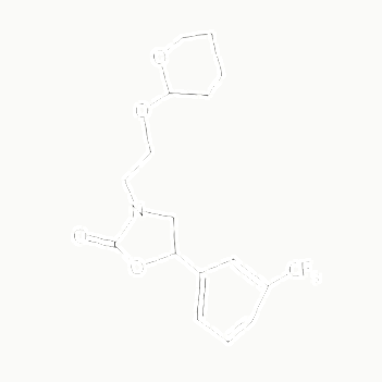 O=C1OC(c2cccc(C(F)(F)F)c2)CN1CCOC1CCCCO1